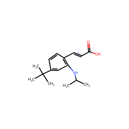 CC(C)Nc1cc(C(C)(C)C)ccc1/C=C/C(=O)O